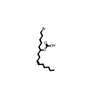 CCCCC/C=C\CCC(CCCCCBr)OC(=O)O